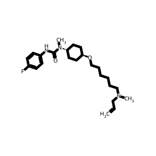 C=CCN(C)CCCCCCO[C@H]1CC[C@H](N(C)C(=O)Nc2ccc(F)cc2)CC1